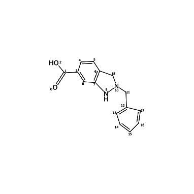 O=C(O)c1ccc2c(c1)NN(Cc1ccccc1)C2